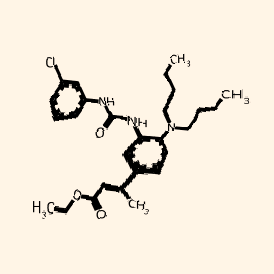 CCCCN(CCCC)c1ccc(/C(C)=C/C(=O)OCC)cc1NC(=O)Nc1cccc(Cl)c1